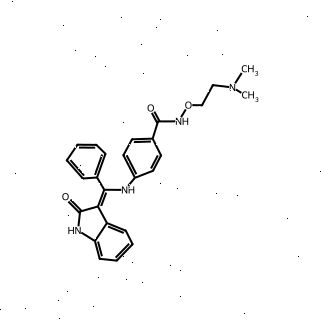 CN(C)CCONC(=O)c1ccc(NC(=C2C(=O)Nc3ccccc32)c2ccccc2)cc1